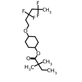 CCC(C)(C)C(=O)OC1CCC(OCCC(F)(F)CC(C)(F)F)CC1